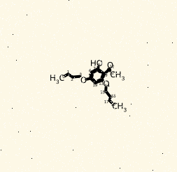 CCCCOc1cc(O)c(C(C)=O)c(OCCCC)c1